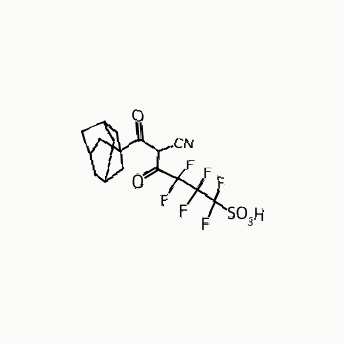 N#CC(C(=O)C12CC3CC(CC(C3)C1)C2)C(=O)C(F)(F)C(F)(F)C(F)(F)S(=O)(=O)O